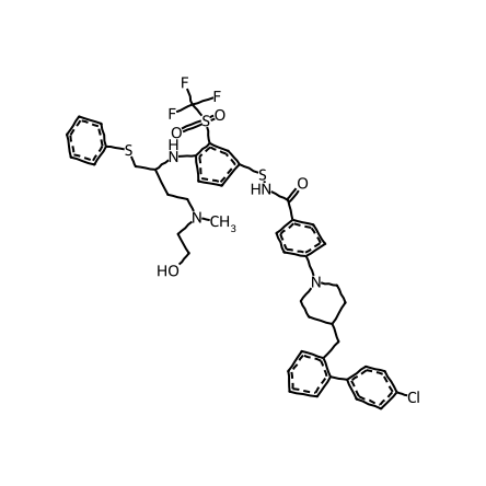 CN(CCO)CCC(CSc1ccccc1)Nc1ccc(SNC(=O)c2ccc(N3CCC(Cc4ccccc4-c4ccc(Cl)cc4)CC3)cc2)cc1S(=O)(=O)C(F)(F)F